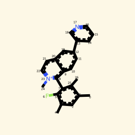 Cc1cc(C)c(F)c(-c2c3ccc(-c4cccnc4)cc3cc[n+]2C)c1C